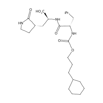 CC(C)C[C@H](NC(=O)OCCCC1CCCCC1)C(=O)N[C@@H](C[C@@H]1CCNC1=O)C(=O)O